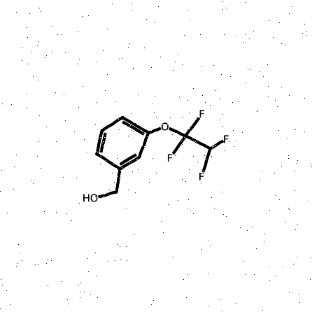 OCc1cccc(OC(F)(F)C(F)F)c1